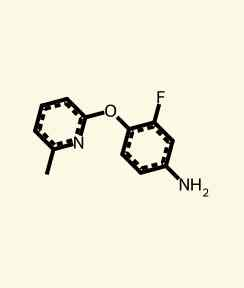 Cc1cccc(Oc2ccc(N)cc2F)n1